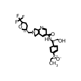 CC[S+]([O-])c1ccc([C@H](CO)NC(=O)c2cnc3c(c2)CN(C[C@@H]2CCC(C(F)(F)F)OC2)C3)cc1